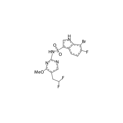 COc1nc(NS(=O)(=O)c2c[nH]c3c(Br)c(F)ccc23)ncc1CC(F)F